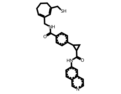 O=C(NCC1=CCCCC(CS)=C1)c1ccc(C2CC2C(=O)Nc2ccc3cnccc3c2)cc1